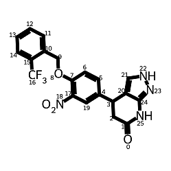 O=C1CC(c2ccc(OCc3ccccc3C(F)(F)F)c([N+](=O)[O-])c2)c2c[nH]nc2N1